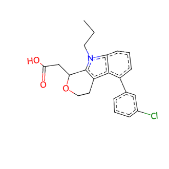 CCCn1c2c(c3c(-c4cccc(Cl)c4)cccc31)CCOC2CC(=O)O